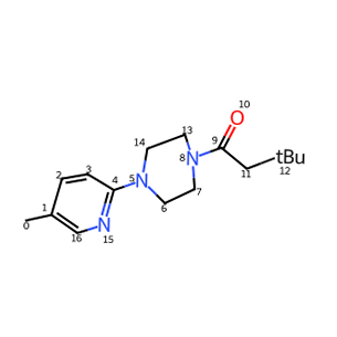 Cc1ccc(N2CCN(C(=O)CC(C)(C)C)CC2)nc1